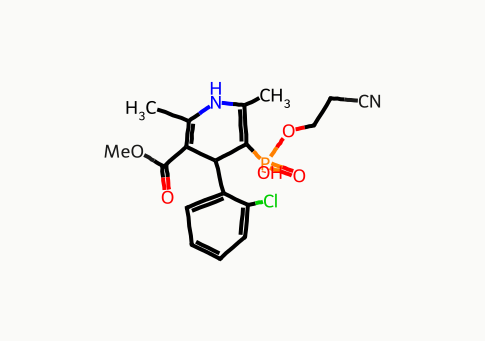 COC(=O)C1=C(C)NC(C)=C(P(=O)(O)OCCC#N)C1c1ccccc1Cl